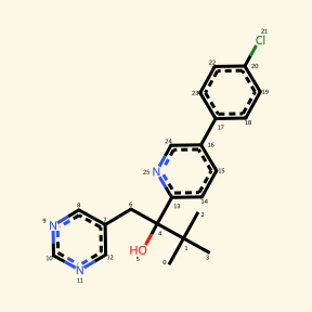 CC(C)(C)C(O)(Cc1cncnc1)c1ccc(-c2ccc(Cl)cc2)cn1